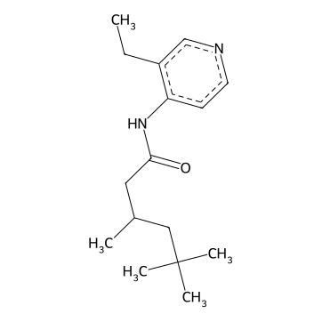 CCc1cnccc1NC(=O)CC(C)CC(C)(C)C